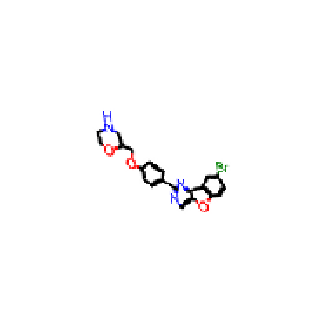 Brc1ccc2oc3cnc(-c4ccc(OCC5CNCCO5)cc4)nc3c2c1